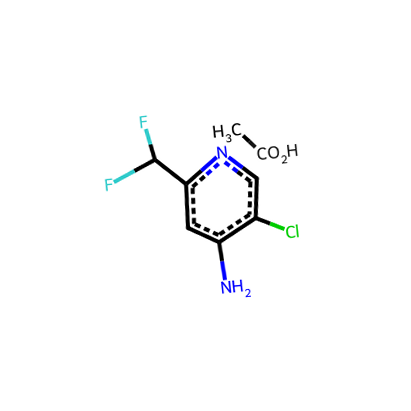 CC(=O)O.Nc1cc(C(F)F)ncc1Cl